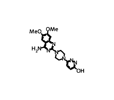 COc1cc2nc(N3CCN(c4ccc(O)nn4)CC3)nc(N)c2cc1OC